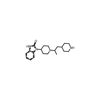 CC(CC1CCNCC1)N1CCC(n2c(=O)[nH]c3ccccc32)CC1